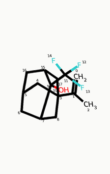 C=C(C)C12CC3CC(C1)C(O)(C(F)(F)F)C(C3)C2